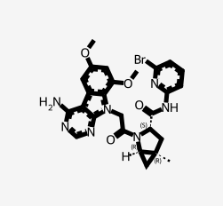 COc1cc(OC)c2c(c1)c1c(N)ncnc1n2CC(=O)N1[C@H](C(=O)Nc2cccc(Br)n2)C[C@@]2(C)C[C@@H]12